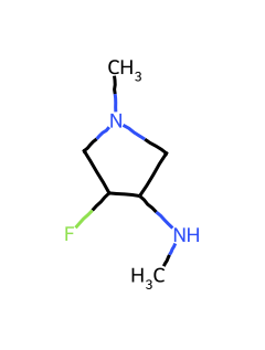 CNC1CN(C)CC1F